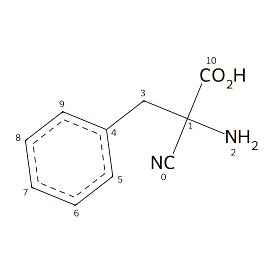 N#CC(N)(Cc1ccccc1)C(=O)O